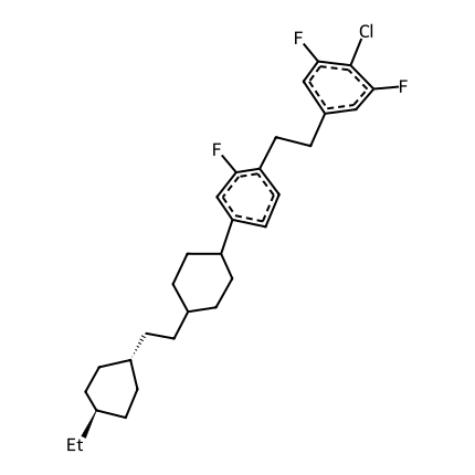 CC[C@H]1CC[C@H](CCC2CCC(c3ccc(CCc4cc(F)c(Cl)c(F)c4)c(F)c3)CC2)CC1